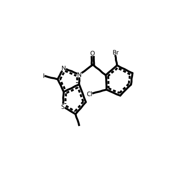 Cc1cc2c(s1)c(I)nn2C(=O)c1c(Cl)cccc1Br